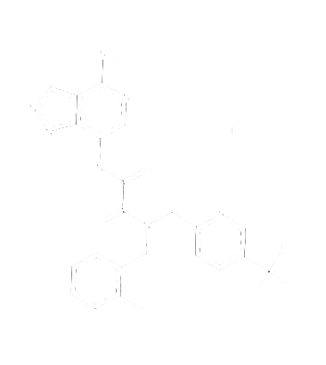 Nc1ncc(NC(=O)C(=O)N(Cc2ccc(C(F)(F)F)cn2)Cc2ccccc2F)c2[nH]ncc12.[Cl-].[H+]